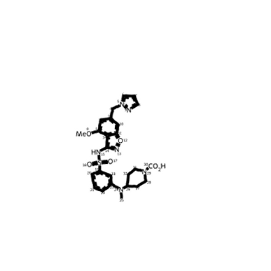 COc1cc(Cn2cccn2)cc2onc(NS(=O)(=O)c3cccc(N(C)C4CCN(C(=O)O)CC4)c3)c12